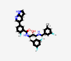 O=C(N[C@@H](Cc1cc(F)cc(F)c1)[C@H](O)CNCc1cc(F)cc(C(F)(F)F)c1)c1cc(-c2cnc3[nH]ccc3c2)ccc1F